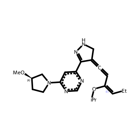 CC/C=C(\C=C=C1CNN=C1c1cc(N2CC[C@@H](OC)C2)ncn1)OC(C)C